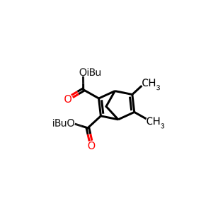 CC1=C(C)C2CC1C(C(=O)OCC(C)C)=C2C(=O)OCC(C)C